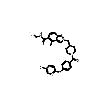 Cc1c(C(=O)NCC(F)(F)F)ccc2nn(CC3CCN(C(=O)c4ccc(Oc5ccc(Cl)cn5)cc4)CC3)cc12